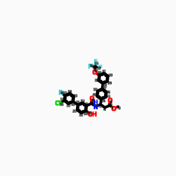 COC(=O)CC(NC(=O)c1cc(-c2ccc(F)c(Cl)c2)ccc1O)c1ccc(-c2cccc(OC(F)(F)F)c2)cc1